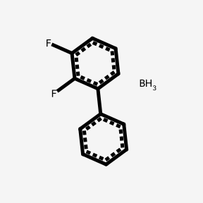 B.Fc1cccc(-c2ccccc2)c1F